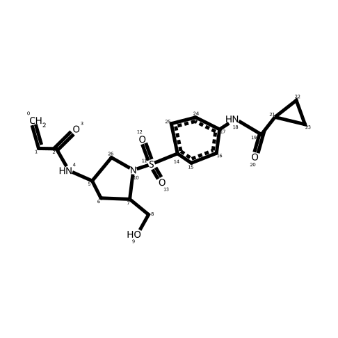 C=CC(=O)NC1CC(CO)N(S(=O)(=O)c2ccc(NC(=O)C3CC3)cc2)C1